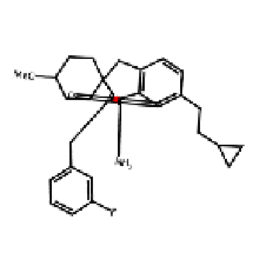 COC1CCC2(CC1)Cc1ccc(CCC3CC3)cc1C21N=C(N)N(Cc2cccc(F)c2)C1=O